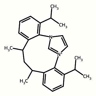 CC(C)c1cccc2c1-n1cc[n+](c1)-c1c(C(C)C)cccc1C(C)CC2C